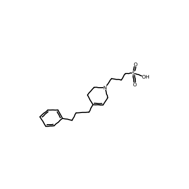 O=S(=O)(O)CCCN1CC=C(CCCc2ccccc2)CC1